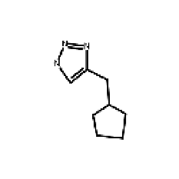 C1=C(CC2CCCC2)N=N[N]1